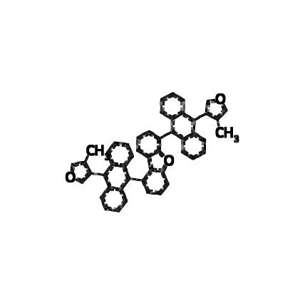 Cc1cocc1-c1c2ccccc2c(-c2cccc3c2oc2cccc(-c4c5ccccc5c(-c5cocc5C)c5ccccc45)c23)c2ccccc12